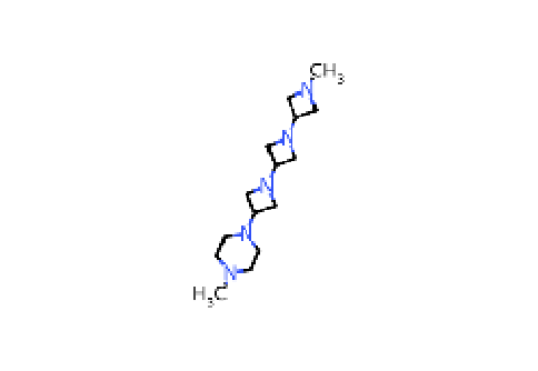 CN1CCN(C2CN(C3CN(C4CN(C)C4)C3)C2)CC1